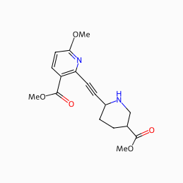 COC(=O)c1ccc(OC)nc1C#CC1CCC(C(=O)OC)CN1